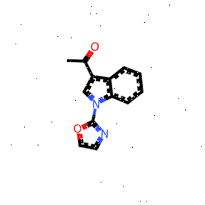 CC(=O)c1cn(-c2ncco2)c2ccccc12